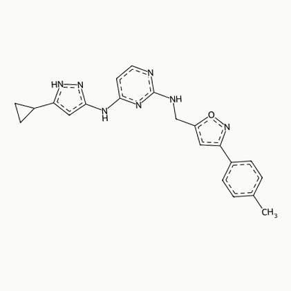 Cc1ccc(-c2cc(CNc3nccc(Nc4cc(C5CC5)[nH]n4)n3)on2)cc1